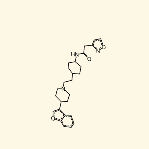 O=C(Cc1ccon1)NC1CCC(CCN2CCC(c3coc4ccccc34)CC2)CC1